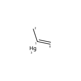 C=CC.[Hg]